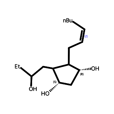 CCCC/C=C\CC1C(CC(O)CC)[C@@H](O)C[C@H]1O